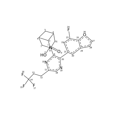 O=C(O)C1C2CC1CN(c1nc(CCC(F)(F)F)cnc1-c1cc(F)c3occc3c1)C2